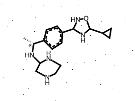 C[C@@H](NC1CNCCN1)c1ccc(C2NOC(C3CC3)N2)cc1